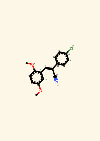 COc1ccc(OC)c(/C=C(\C#N)c2ccc(Cl)cc2)c1